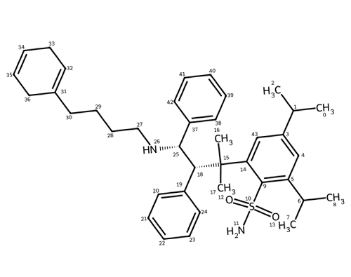 CC(C)c1cc(C(C)C)c(S(N)(=O)=O)c(C(C)(C)[C@H](c2ccccc2)[C@H](NCCCCC2=CCC=CC2)c2ccccc2)c1